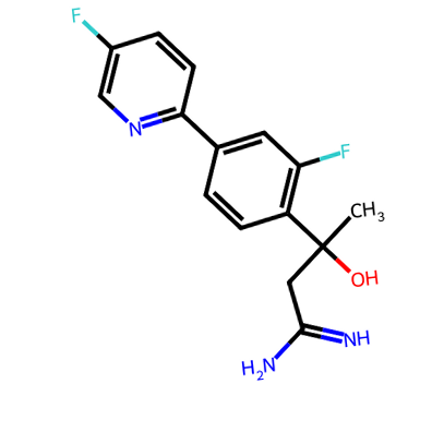 CC(O)(CC(=N)N)c1ccc(-c2ccc(F)cn2)cc1F